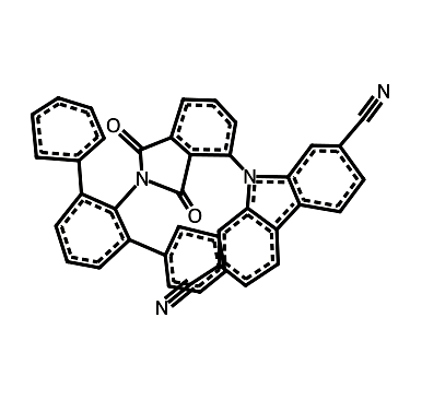 N#Cc1ccc2c3ccc(C#N)cc3n(-c3cccc4c3C(=O)N(c3c(-c5ccccc5)cccc3-c3ccccc3)C4=O)c2c1